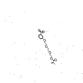 C=C(C)C(=O)OCCOCCOCCOc1cccc([N+](=O)[O-])c1